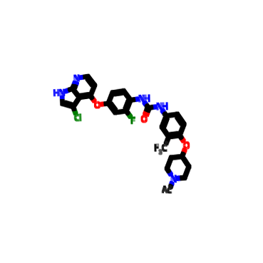 CC(=O)N1CCC(Oc2ccc(NC(=O)Nc3ccc(Oc4ccnc5[nH]cc(Cl)c45)cc3F)cc2C(F)(F)F)CC1